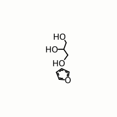 OCC(O)CO.c1ccoc1